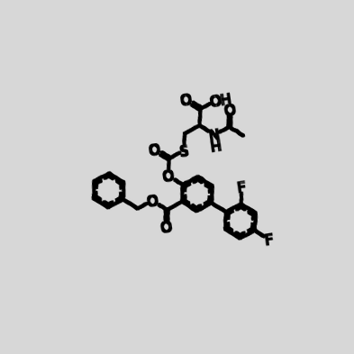 CC(=O)NC(CSC(=O)Oc1ccc(-c2ccc(F)cc2F)cc1C(=O)OCc1ccccc1)C(=O)O